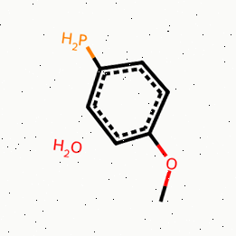 COc1ccc(P)cc1.O